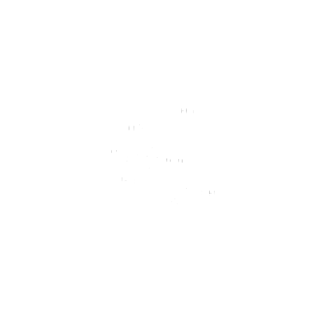 CCCCC(CO)(CO)C(=O)O.CCCCCC(=O)O